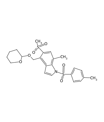 Cc1ccc(S(=O)(=O)n2ccc3c(COC4CCCCO4)c(S(C)(=O)=O)cc(C)c32)cc1